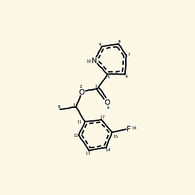 CC(OC(=O)c1ccccn1)c1cccc(F)c1